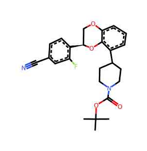 CC(C)(C)OC(=O)N1CCC(c2cccc3c2O[C@@H](c2ccc(C#N)cc2F)CO3)CC1